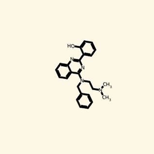 CN(C)CCN(Cc1ccccc1)c1nc(-c2ccccc2O)nc2ccccc12